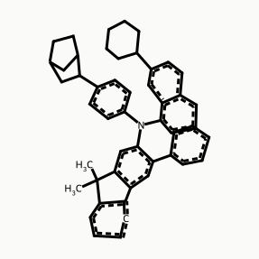 CC1(C)c2ccccc2-c2cc(-c3ccccc3)c(N(c3ccc(C4CC5CCC4C5)cc3)c3cccc4ccc(C5CCCCC5)cc34)cc21